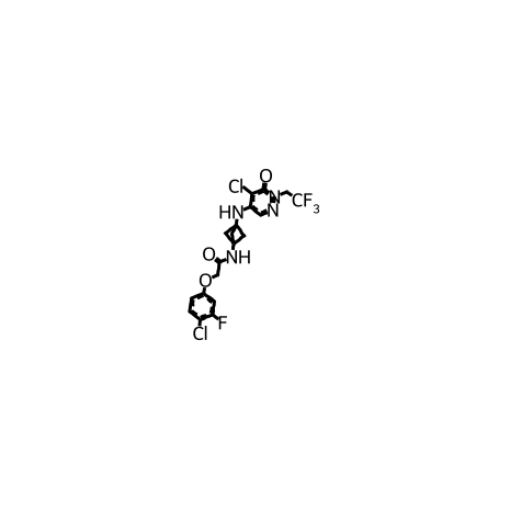 O=C(COc1ccc(Cl)c(F)c1)NC12CC(Nc3cnn(CC(F)(F)F)c(=O)c3Cl)(C1)C2